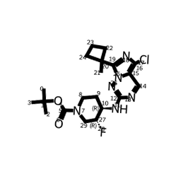 CC(C)(C)OC(=O)N1CC[C@@H](Nc2ncc3c(Cl)nc(C4(C)CCC4)n3n2)[C@H](F)C1